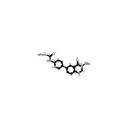 CCCCCC(=O)Nc1ccc(-c2ccc3ncn(CCCC)c(=O)c3c2)cn1